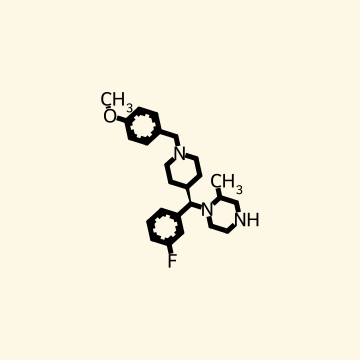 COc1ccc(CN2CCC([C@H](c3cccc(F)c3)N3CCNCC3C)CC2)cc1